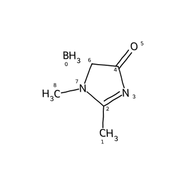 B.CC1=NC(=O)CN1C